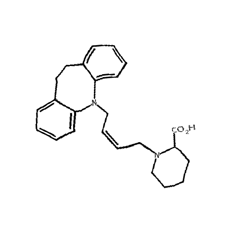 O=C(O)C1CCCCN1C/C=C\CN1c2ccccc2CCc2ccccc21